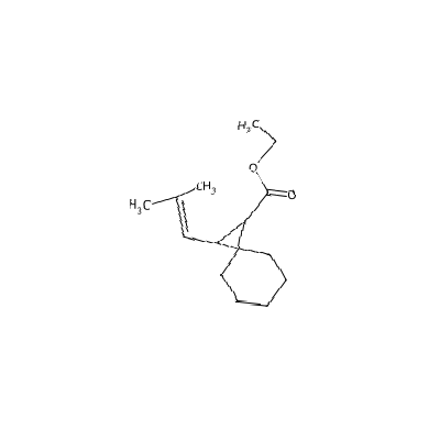 CCOC(=O)C1C(C=C(C)C)C12CCCCC2